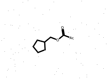 CC(=O)C(=O)OCC1CCCC1